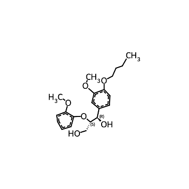 CCCCOc1ccc([C@@H](O)[C@H](CO)Oc2ccccc2OC)cc1OC